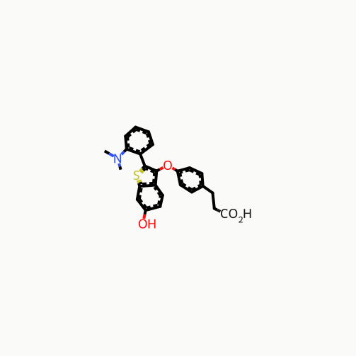 CN(C)c1ccccc1-c1sc2cc(O)ccc2c1Oc1ccc(CCC(=O)O)cc1